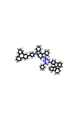 c1ccc(-c2nc(-c3ccc4c(c3)C(c3ccccc3)(c3ccccc3)c3ccccc3-4)nc(-n3c4ccccc4c4c5c6ccccc6n(-c6ccc(-c7ccc8c9ccccc9c9ccccc9c8c7)cc6)c5ccc43)n2)cc1